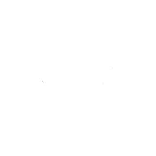 O=C1C=C(S(=O)(=O)c2ccc([N+](=O)[O-])cc2)C(=O)N1